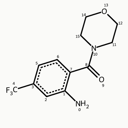 Nc1cc(C(F)(F)F)ccc1C(=O)N1CCOCC1